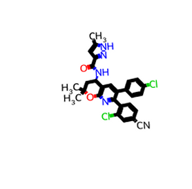 Cc1cc(C(=O)N[C@@H]2CC(C)(C)Oc3nc(-c4ccc(C#N)cc4Cl)c(-c4ccc(Cl)cc4)cc32)n[nH]1